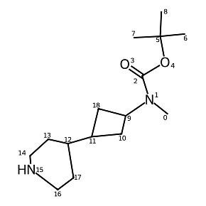 CN(C(=O)OC(C)(C)C)C1CC(C2CCNCC2)C1